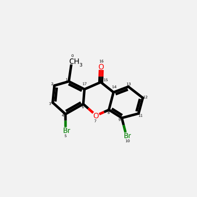 Cc1ccc(Br)c2oc3c(Br)cccc3c(=O)c12